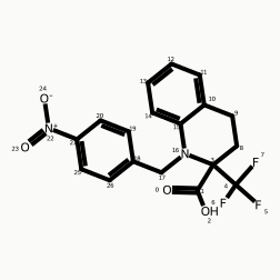 O=C(O)C1(C(F)(F)F)CCc2ccccc2N1Cc1ccc([N+](=O)[O-])cc1